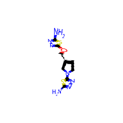 Nc1nnc(OC[C@@H]2CCN(c3nnc(N)s3)C2)s1